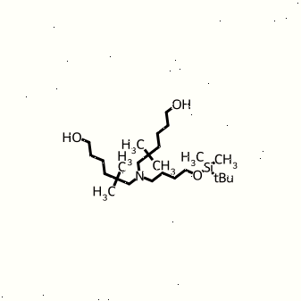 CC(C)(CCCCO)CN(CCCCO[Si](C)(C)C(C)(C)C)CC(C)(C)CCCCO